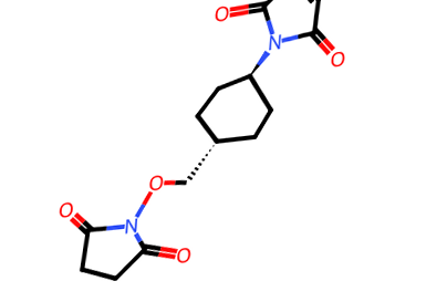 O=C1CCC(=O)N1OC[C@H]1CC[C@H](N2C(=O)C=CC2=O)CC1